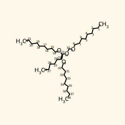 CCCCCCCCCOCOC(OCCCCCCCCC)=C(CCCCC)OCCCCCCCCC